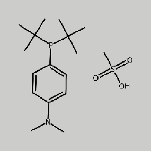 CN(C)c1ccc(P(C(C)(C)C)C(C)(C)C)cc1.CS(=O)(=O)O